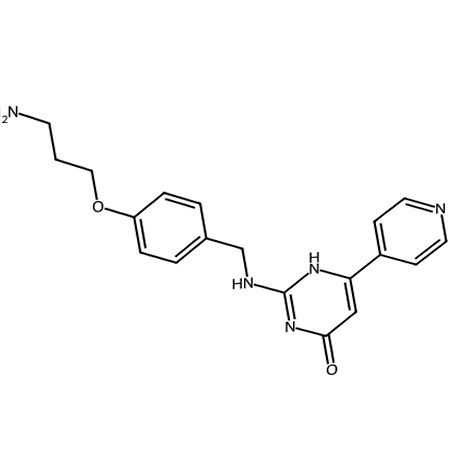 NCCCOc1ccc(CNc2nc(=O)cc(-c3ccncc3)[nH]2)cc1